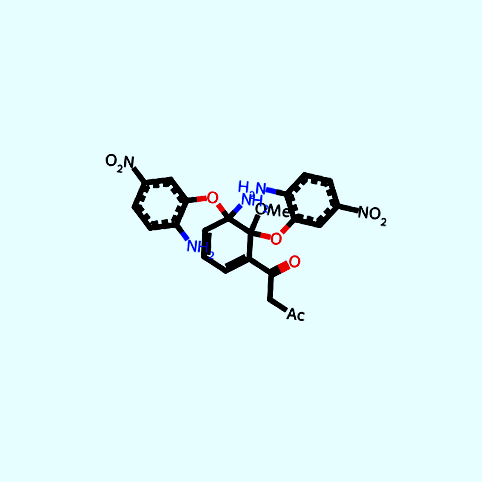 COC1(Oc2cc([N+](=O)[O-])ccc2N)C(C(=O)CC(C)=O)=CC=CC1(N)Oc1cc([N+](=O)[O-])ccc1N